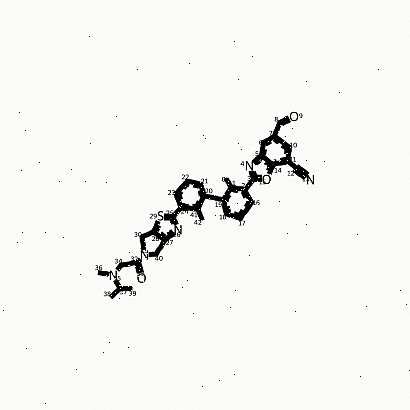 Cc1c(-c2nc3cc(C=O)cc(C#N)c3o2)cccc1-c1cccc(-c2nc3c(s2)CN(C(=O)CN(C)C(C)C)C3)c1C